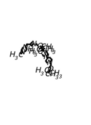 CN1CCN(CC2CN(CCOC(C)(C)C(C)(C)N3CCN(C4CCN(CCOC(C)(C)C)CC4)CC3)C2)CC1